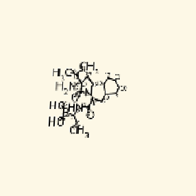 CCC(NC(=O)[C@H](CC1CCCCC1)N1CCC(N)(C(C)C)C1=O)B(O)O